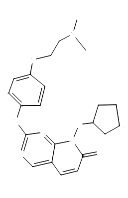 CN(C)CCNc1ccc(Nc2ncc3ccc(=O)n(OC4CCCC4)c3n2)cc1